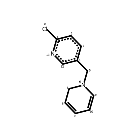 Clc1ccc(CN2[CH]C=CC=C2)cn1